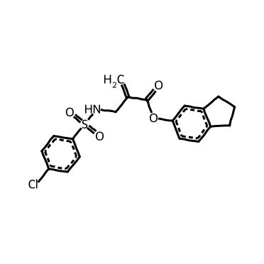 C=C(CNS(=O)(=O)c1ccc(Cl)cc1)C(=O)Oc1ccc2c(c1)CCC2